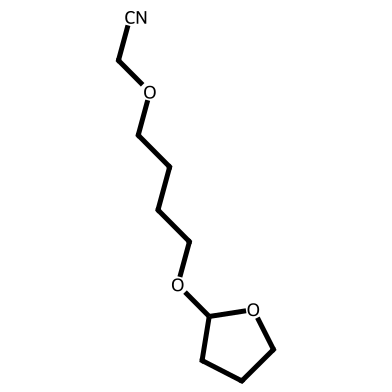 N#CCOCCCCOC1CCCO1